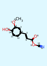 COc1cc(C=CC(=O)OC#N)ccc1O